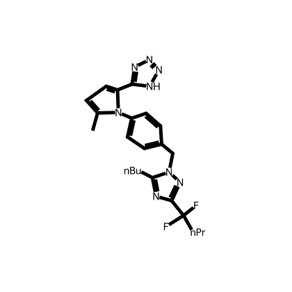 CCCCc1nc(C(F)(F)CCC)nn1Cc1ccc(-n2c(C)ccc2-c2nnn[nH]2)cc1